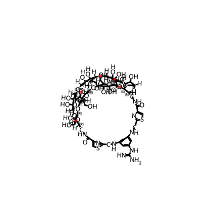 N=C(N)Nc1cc2cc(c1)NCc1nc(cs1)C(=O)NC[C@H]1O[C@@H]3O[C@H]4C(O)C(O)[C@H](O[C@@H]4CO)O[C@H]4C(O)C(O)[C@H](O[C@@H]4CO)O[C@H]4C(O)C(O)[C@H](O[C@@H]4CO)O[C@H]4C(O)C(O)[C@H](O[C@@H]4CNC(=O)c4csc(n4)CN2)O[C@H]2C(O)C(O)[C@H](O[C@@H]2CO)O[C@H]2C(O)C(O)[C@H](O[C@@H]2CO)O[C@H]1C(O)C3O